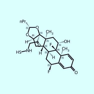 CCC[C@H]1O[C@@H]2C[C@H]3[C@@H]4C[C@H](F)C5=CC(=O)C=C[C@]5(C)[C@@]4(F)[C@@H](O)C[C@]3(C)[C@]2(C(=O)CNS)O1